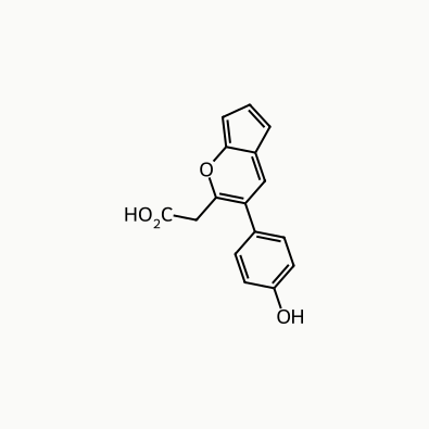 O=C(O)Cc1oc2cccc-2cc1-c1ccc(O)cc1